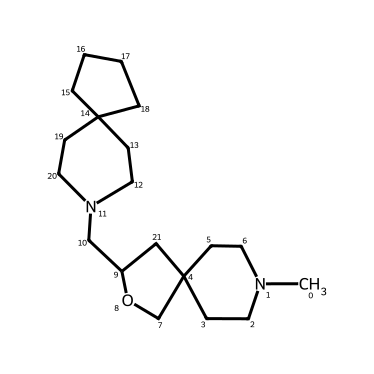 CN1CCC2(CC1)COC(CN1CCC3(CCCC3)CC1)C2